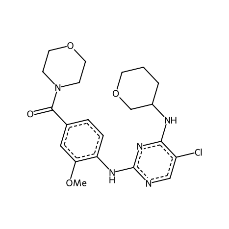 COc1cc(C(=O)N2CCOCC2)ccc1Nc1ncc(Cl)c(NC2CCCOC2)n1